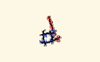 CCC1=C(C)c2cc3[nH]c(cc4nc(c(C)c5[nH]c(cc1n2)c(C)c5C(=O)N(C)CCOCCOCCOC)[C@@H](CCC(=O)OC)[C@@H]4C)c(C)c3CC